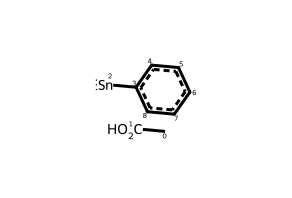 CC(=O)O.[Sn][c]1ccccc1